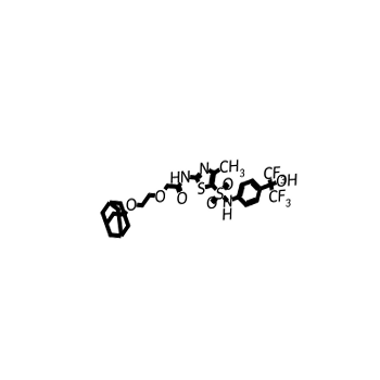 Cc1nc(NC(=O)COCCOC23CC4CC(CC(C4)C2)C3)sc1S(=O)(=O)Nc1ccc(C(O)(C(F)(F)F)C(F)(F)F)cc1